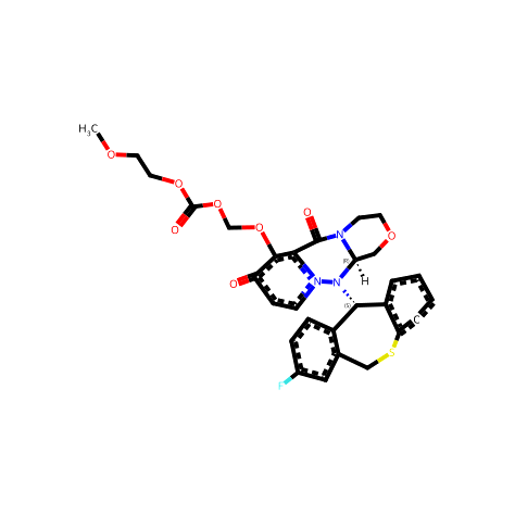 COCCOC(=O)OCOc1c2n(ccc1=O)N([C@H]1c3ccc(F)cc3CSc3ccccc31)[C@@H]1COCCN1C2=O